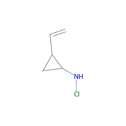 C=CC1CC1NCl